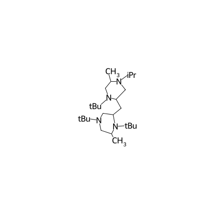 CC(C)N1CC(CC2CN(C(C)(C)C)CC(C)N2C(C)(C)C)N(C(C)(C)C)CC1C